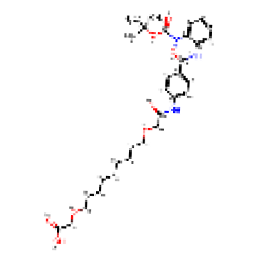 CC(C)(C)OC(=O)Nc1ccccc1NC(=O)c1ccc(NC(=O)COCCCCCCCCCOCC(=O)O)cc1